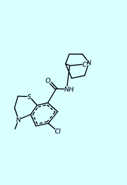 CN1CCSc2c(C(=O)NC3CN4CCC3CC4)cc(Cl)cc21